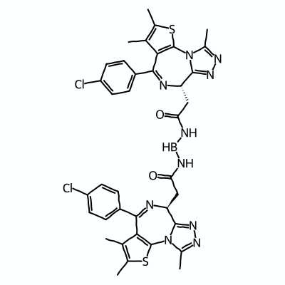 Cc1sc2c(c1C)C(c1ccc(Cl)cc1)=N[C@@H](CC(=O)NBNC(=O)C[C@@H]1N=C(c3ccc(Cl)cc3)c3c(sc(C)c3C)-n3c(C)nnc31)c1nnc(C)n1-2